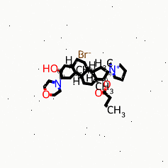 CCCC(=O)O[C@H]1[C@@H]([N+]2(C)CCCC2)C[C@H]2[C@@H]3CC[C@H]4C[C@H](O)[C@@H](N5CCOCC5)C[C@]4(C)[C@H]3CC[C@@]21C.[Br-]